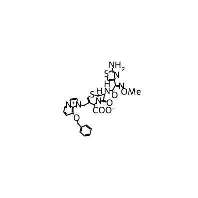 CO/N=C(\C(=O)N[C@@H]1C(=O)N2C(C(=O)[O-])C(Cn3cc[n+]4cccc(OCc5ccccc5)c34)=CS[C@@H]12)c1csc(N)n1